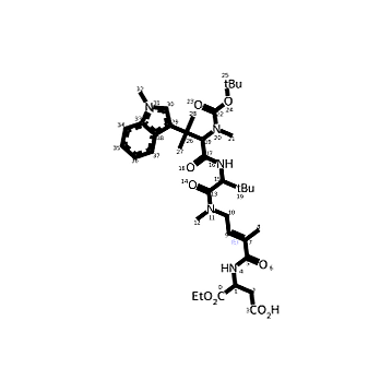 CCOC(=O)C(CC(=O)O)NC(=O)/C(C)=C/CN(C)C(=O)C(NC(=O)C(N(C)C(=O)OC(C)(C)C)C(C)(C)c1cn(C)c2ccccc12)C(C)(C)C